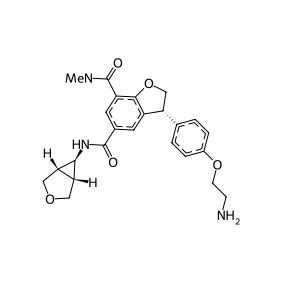 CNC(=O)c1cc(C(=O)N[C@H]2[C@@H]3COC[C@@H]32)cc2c1OC[C@@H]2c1ccc(OCCN)cc1